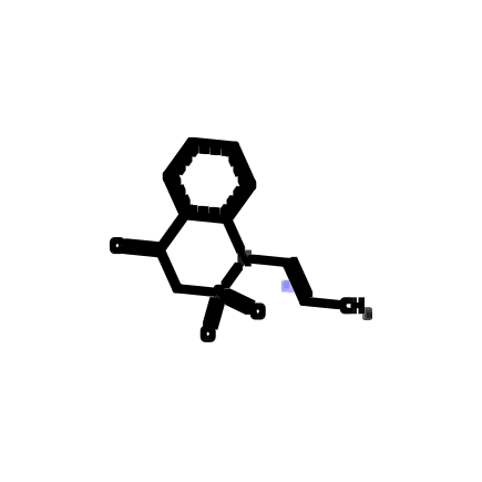 C/C=C/N1c2ccccc2C(=O)CS1(=O)=O